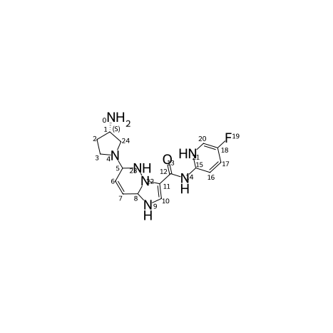 N[C@H]1CCN(C2C=CC3NC=C(C(=O)NC4C=CC(F)=CN4)N3N2)C1